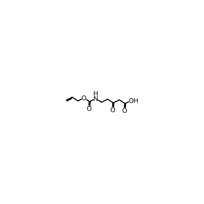 C=CCOC(=O)NCCC(=O)CC(=O)O